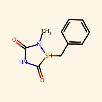 CN1C(=O)NC(=O)[SH]1Cc1ccccc1